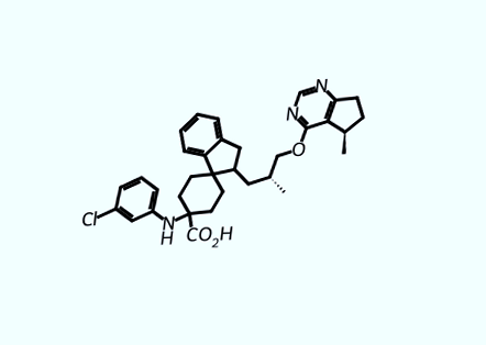 C[C@@H](COc1ncnc2c1[C@H](C)CC2)CC1Cc2ccccc2C12CCC(Nc1cccc(Cl)c1)(C(=O)O)CC2